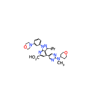 CC(C)c1nn(-c2cccc(N3CCOCC3)c2)c2nc(C(=O)O)cc(-c3cnc(N(C)C4CCOCC4)nc3)c12